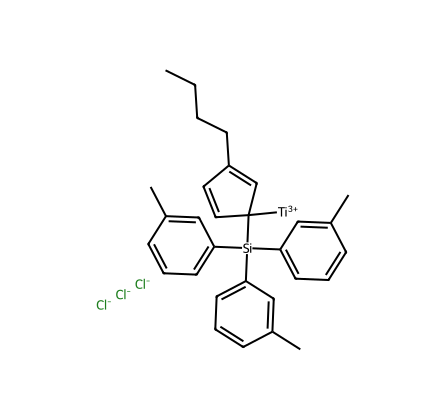 CCCCC1=C[C]([Ti+3])([Si](c2cccc(C)c2)(c2cccc(C)c2)c2cccc(C)c2)C=C1.[Cl-].[Cl-].[Cl-]